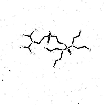 CC(C)N(CCS(=O)(=O)CCOP(=O)(N(CCCl)CCCl)N(CCCl)CCCl)C(C)C